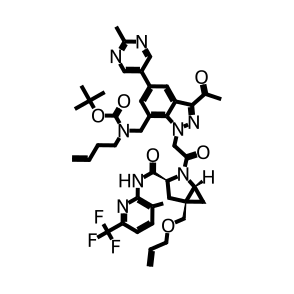 C=CCCN(Cc1cc(-c2cnc(C)nc2)cc2c(C(C)=O)nn(CC(=O)N3[C@H](C(=O)Nc4nc(C(F)(F)F)ccc4C)C[C@@]4(COCC=C)C[C@@H]34)c12)C(=O)OC(C)(C)C